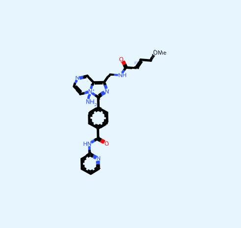 COC/C=C/C(=O)NCC1=C2C=NC=C[N+]2(N)C(c2ccc(C(=O)Nc3ccccn3)cc2)=N1